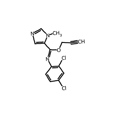 C#CCOC(=Nc1ccc(Cl)cc1Cl)c1cncn1C